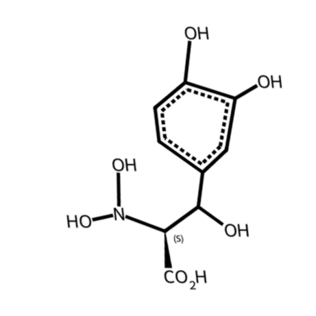 O=C(O)[C@H](C(O)c1ccc(O)c(O)c1)N(O)O